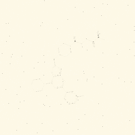 C=C(C)C(=O)CCC(=O)N1CCN(Cc2cc3nc(-c4cccc(O)c4)nc(N4CCOCC4)c3s2)CC1